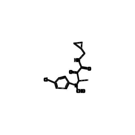 CC(C(=O)C(=O)NCC1CC1)N(C=O)c1ccc(Cl)cc1